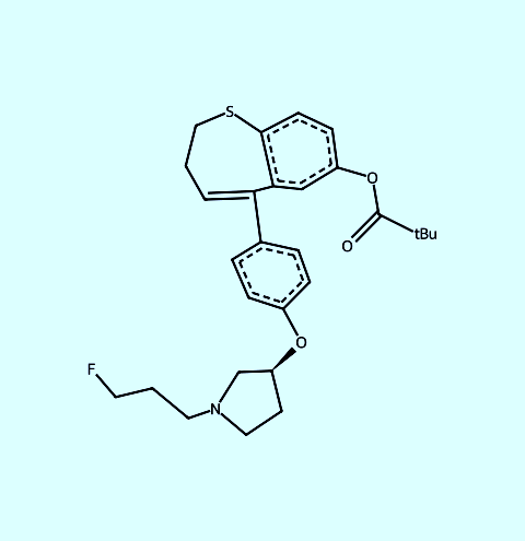 CC(C)(C)C(=O)Oc1ccc2c(c1)C(c1ccc(O[C@H]3CCN(CCCF)C3)cc1)=CCCS2